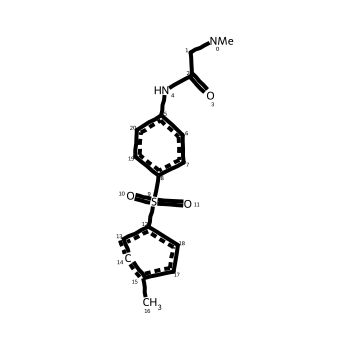 CNCC(=O)Nc1ccc(S(=O)(=O)c2ccc(C)cc2)cc1